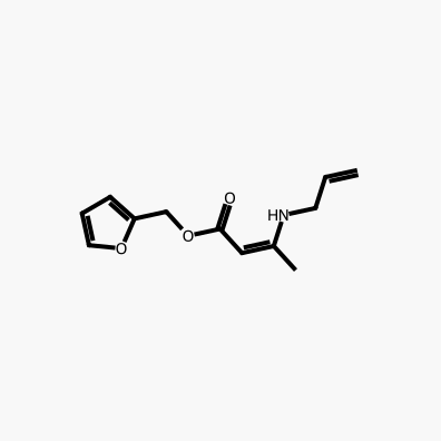 C=CCN/C(C)=C\C(=O)OCc1ccco1